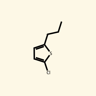 CC[CH]c1ccc(Cl)s1